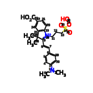 CN(C)c1ccc(/C=C/C2=[N+](CCCS(=O)(=O)OO)c3ccc(C(=O)O)cc3C2(C)C)cc1